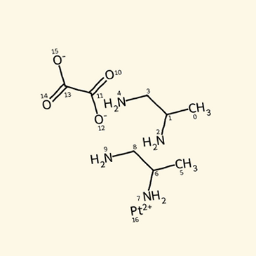 CC(N)CN.CC(N)CN.O=C([O-])C(=O)[O-].[Pt+2]